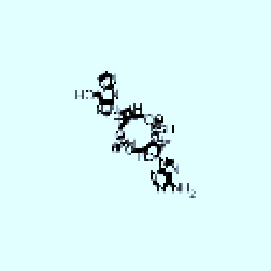 Nc1ncnc2c1ncn2[C@@H]1O[C@@H]2CO[PH](=O)OC[C@@H]3[C@@H](CO[P@@](=O)(S)O[C@H]2[C@H]1F)C[C@H]3n1cnc2c(O)n3ccnc3nc21